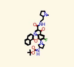 CN1CCCC1CCNC(=O)c1cn2c3c(c(N4CC[C@@H](NC(=O)OC(C)(C)C)C4)c(F)cc3c1=O)Oc1c-2ccc2ccccc12